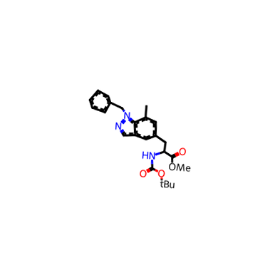 COC(=O)C(Cc1cc(C)c2c(cnn2Cc2ccccc2)c1)NC(=O)OC(C)(C)C